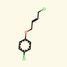 ClC/C=C/COc1ccc(Cl)cc1